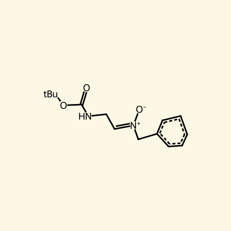 CC(C)(C)OC(=O)NC/C=[N+](\[O-])Cc1ccccc1